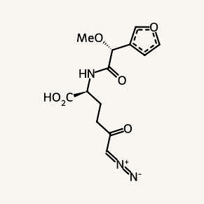 CO[C@@H](C(=O)N[C@@H](CCC(=O)C=[N+]=[N-])C(=O)O)c1ccoc1